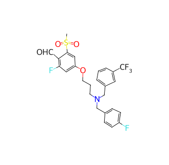 CS(=O)(=O)c1cc(OCCCN(Cc2ccc(F)cc2)Cc2cccc(C(F)(F)F)c2)cc(F)c1C=O